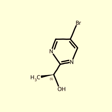 C[C@H](O)c1ncc(Br)cn1